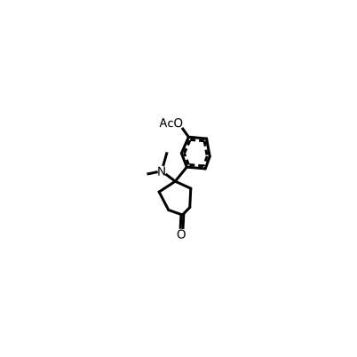 CC(=O)Oc1cccc(C2(N(C)C)CCC(=O)CC2)c1